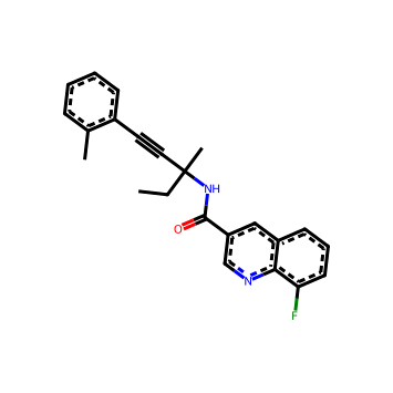 CCC(C)(C#Cc1ccccc1C)NC(=O)c1cnc2c(F)cccc2c1